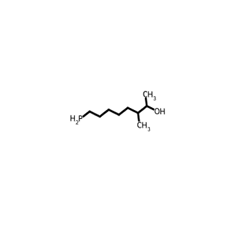 CC(O)C(C)CCCCCP